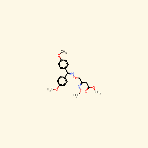 CON=C(CON=C(c1ccc(OC)cc1)c1ccc(OC)cc1)CC(=O)OC